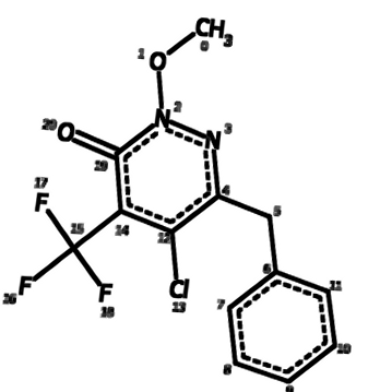 COn1nc(Cc2ccccc2)c(Cl)c(C(F)(F)F)c1=O